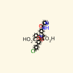 O=C(O)c1cccc(CN(C2(C(=O)O)CC2c2cccc(NC(=O)c3cccnc3)c2)S(=O)(=O)c2ccc(-c3ccc(Cl)cc3)cc2)c1